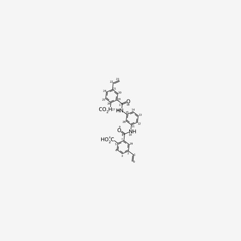 C=Cc1ccc(C(=O)O)c(C(=O)Nc2cccc(NC(=O)c3cc(C=C)ccc3C(=O)O)c2)c1